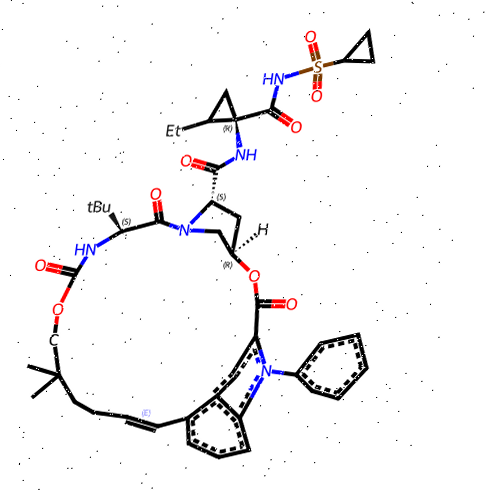 CCC1C[C@]1(NC(=O)[C@@H]1C[C@@H]2CN1C(=O)[C@H](C(C)(C)C)NC(=O)OCC(C)(C)CC/C=C/c1cccc3c1cc(n3-c1ccccc1)C(=O)O2)C(=O)NS(=O)(=O)C1CC1